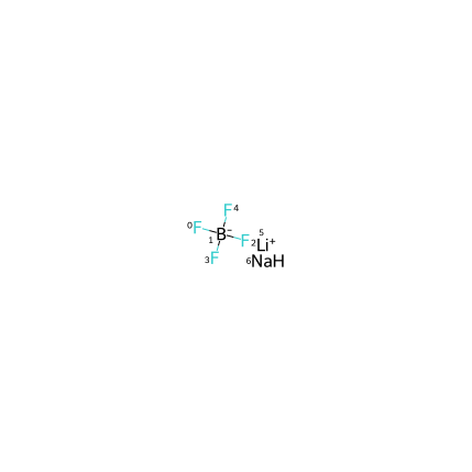 F[B-](F)(F)F.[Li+].[NaH]